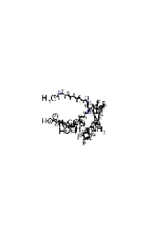 CC/C=C\CC=CCC=CC/C=C\C/C=C\CCCC(=O)OCC(C)(C)[C@@H](O)CNCCC(=O)O.N[C@@H](CC(=O)N1CCn2c(nnc2C(F)(F)F)C1)Cc1cc(F)c(F)cc1F